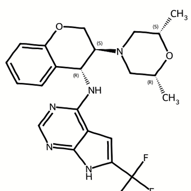 C[C@@H]1CN([C@@H]2COc3ccccc3[C@H]2Nc2ncnc3[nH]c(C(F)(F)F)cc23)C[C@H](C)O1